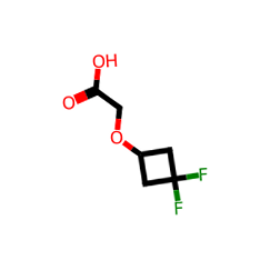 O=C(O)COC1CC(F)(F)C1